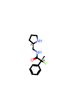 C[C@](F)(C(=O)NC[C@H]1CCCN1)c1cc[c]cc1